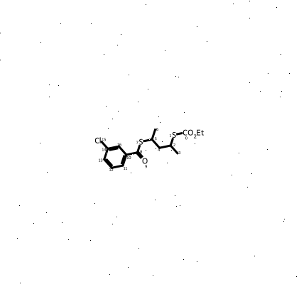 CCOC(=O)SC(C)CC(C)SC(=O)c1cccc(Cl)c1